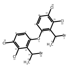 CC(Br)c1c(Oc2ccc(Cl)c(Cl)c2C(C)Br)ccc(Cl)c1Cl